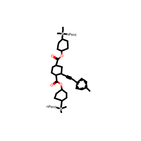 CCCCC[Si](C)(C)C1CCC(OC(=O)C2CCC(C(=O)OC3CCC([Si](C)(C)CCCCC)CC3)C(C#Cc3ccc(C)cc3)C2)CC1